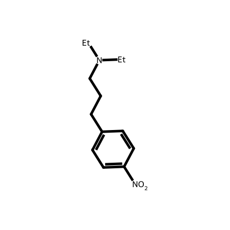 CCN(CC)CCCc1ccc([N+](=O)[O-])cc1